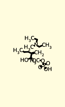 C=C(CCC)C(=O)O.CCN(C)CC.COS(=O)(=O)O